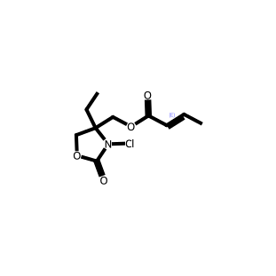 C/C=C/C(=O)OCC1(CC)COC(=O)N1Cl